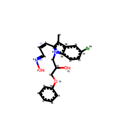 Cc1c(/C=C\C=N\O)n(CC(O)COc2ccccc2)c2ccc(Br)cc12